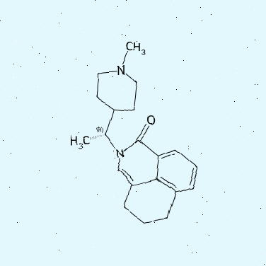 C[C@H](C1CCN(C)CC1)n1cc2c3c(cccc3c1=O)CCC2